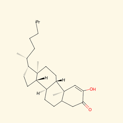 CC(C)CCC[C@@H](C)[C@H]1CC[C@H]2[C@@H]3CCC4CC(=O)C(O)=C[C@]4(C)[C@H]3CC[C@]12C